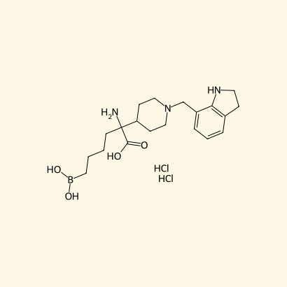 Cl.Cl.NC(CCCCB(O)O)(C(=O)O)C1CCN(Cc2cccc3c2NCC3)CC1